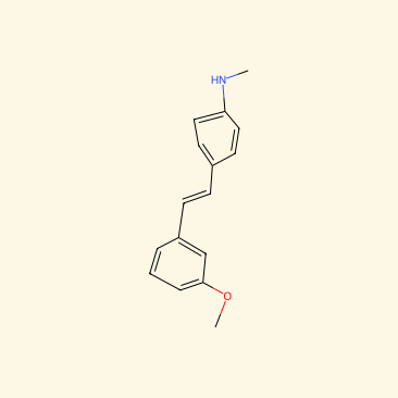 CNc1ccc(/C=C/c2cccc(OC)c2)cc1